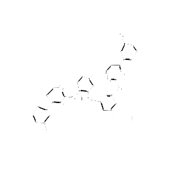 Nc1cccc(-c2ccnc(Nc3cc(Nc4cc(C(F)(F)F)ccc4Nc4nccc(-c5cccc(Cl)c5)n4)cc(C(=O)O)c3)n2)c1